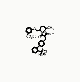 CCCc1c(Cc2ccc(-c3ccccc3-c3nnn[nH]3)cc2)c(=O)n2n1C(C)CCC2COc1cccc(C(=O)OCC)c1